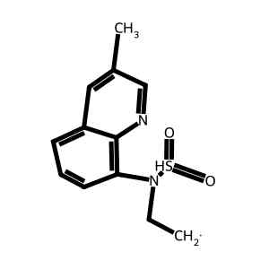 [CH2]CN(c1cccc2cc(C)cnc12)[SH](=O)=O